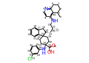 CC1CCCc2nccc(NC[C@H](C)C[C@H]3Cc4ccccc4C34CCC(Nc3cccc(Cl)c3)(C(=O)O)CC4)c21